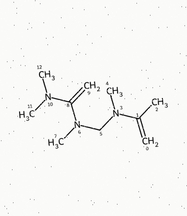 C=C(C)N(C)CN(C)C(=C)N(C)C